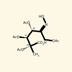 CC(=O)OCC(=NO)[C@@H](OC(C)=O)[C@H](OC(C)=O)[C@@](C)(OC(C)=O)C(=O)O